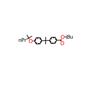 CCCC(C)(C)Oc1ccc(C(C)(C)c2ccc(C(=O)OC(C)CC)cc2)cc1